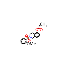 C=CC(=O)Oc1cccc2c1CCN(S(=O)(=O)c1ccccc1OC)C2